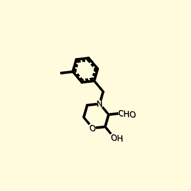 Cc1cccc(CN2CCOC(O)C2C=O)c1